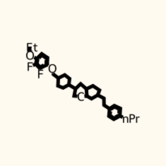 CCCc1ccc(CCC2CCC3CC(C4CCC(COc5ccc(OCC)c(F)c5F)CC4)CCC3C2)cc1